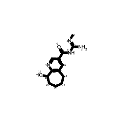 CN=C(N)NC(=O)c1cnc2c(c1)CCCCC2O